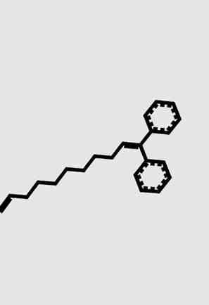 C=CCCCCCCCC=C(c1ccccc1)c1ccccc1